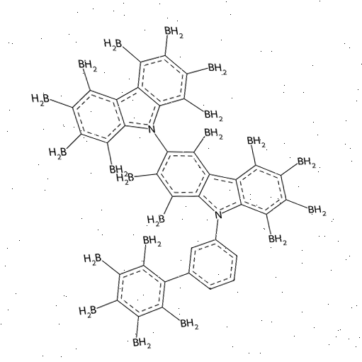 Bc1c(B)c(B)c(-c2cccc(-n3c4c(B)c(B)c(B)c(B)c4c4c(B)c(-n5c6c(B)c(B)c(B)c(B)c6c6c(B)c(B)c(B)c(B)c65)c(B)c(B)c43)c2)c(B)c1B